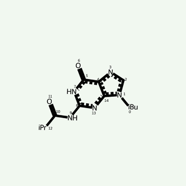 CCC(C)n1cnc2c(=O)[nH]c(NC(=O)C(C)C)nc21